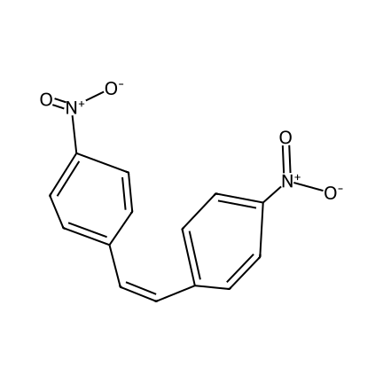 O=[N+]([O-])c1ccc(/C=C\c2ccc([N+](=O)[O-])cc2)cc1